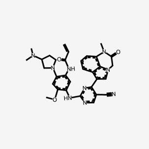 C=CC(=O)Nc1cc(Nc2ncc(C#N)c(-c3cn4c5c(cccc35)N(C)C(=O)C4)n2)c(OC)cc1N1CCC(N(C)C)C1